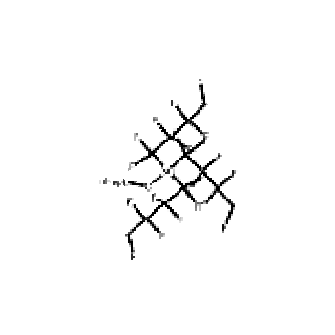 CCCCCCC[O][Sn]([C](F)(F)C(F)(F)C(F)(F)CF)([C](F)(F)C(F)(F)C(F)(F)CF)[C](F)(F)C(F)(F)C(F)(F)CF